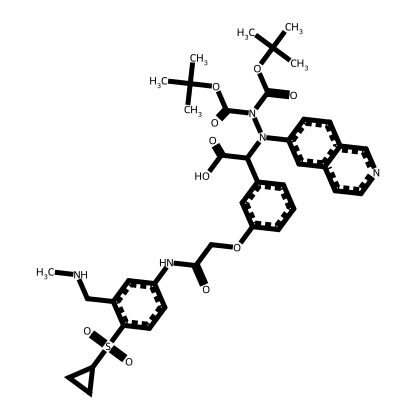 CNCc1cc(NC(=O)COc2cccc(C(C(=O)O)N(c3ccc4cnccc4c3)N(C(=O)OC(C)(C)C)C(=O)OC(C)(C)C)c2)ccc1S(=O)(=O)C1CC1